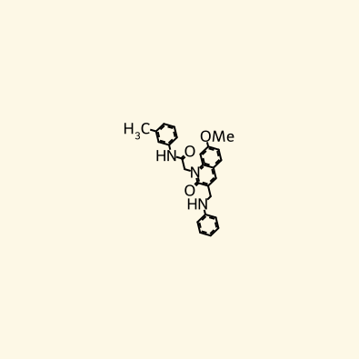 COc1ccc2cc(CNc3ccccc3)c(=O)n(CC(=O)Nc3cccc(C)c3)c2c1